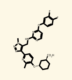 Cc1nc(-c2nnn(C)c2CNc2nccc(Oc3ccc(F)c(F)c3)n2)ccc1O[C@H]1CCC[C@H](C(=O)O)C1